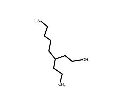 CCCCCC(CCC)CCO